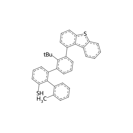 Cc1ccccc1-c1c(S)cccc1-c1cccc(-c2cccc3sc4ccccc4c23)c1C(C)(C)C